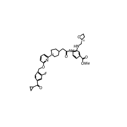 COC(=O)c1ccc(NC(=O)CC2CCN(c3cccc(OCc4ccc(C(=O)C5CC5)cc4F)n3)CC2)c(NC[C@@H]2CCO2)c1